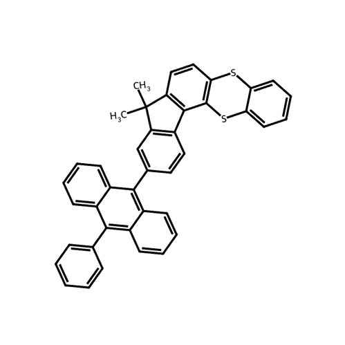 CC1(C)c2cc(-c3c4ccccc4c(-c4ccccc4)c4ccccc34)ccc2-c2c1ccc1c2Sc2ccccc2S1